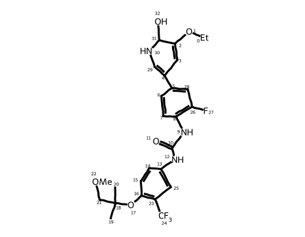 CCOC1=CC(c2ccc(NC(=O)Nc3ccc(OC(C)(C)COC)c(C(F)(F)F)c3)c(F)c2)=CNC1O